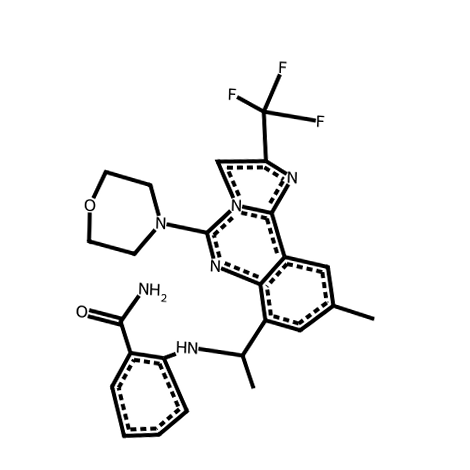 Cc1cc(C(C)Nc2ccccc2C(N)=O)c2nc(N3CCOCC3)n3cc(C(F)(F)F)nc3c2c1